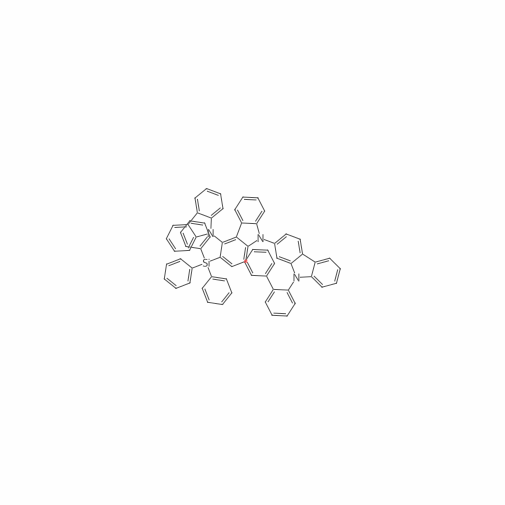 c1ccc(-c2ccccc2-n2c3ccccc3c3ccc(-n4c5ccccc5c5c(-n6c7ccccc7c7ccccc76)c([Si](c6ccccc6)(c6ccccc6)c6ccccc6)ccc54)cc32)cc1